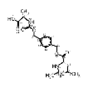 CCN[C@@H](CC(C)C)C(=O)OCc1ccc(COC(=O)N[C@@H](C)C(=O)O)cc1